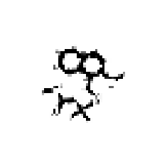 COC(=O)NC(C)(C)C.COc1ccc2ccccc2c1CCl